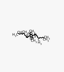 Cc1nc2c(-c3ccc(CCC(C)CCCC(C)C)s3)c3sc(C)nc3c(-c3ccc(CCC(C)CCCC(C)C)s3)c2s1